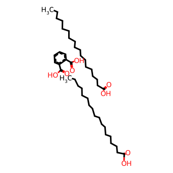 CCCCCCCCCCCCCCCCCC(=O)O.CCCCCCCCCCCCCCCCCC(=O)O.O=C(O)c1ccccc1C(=O)O